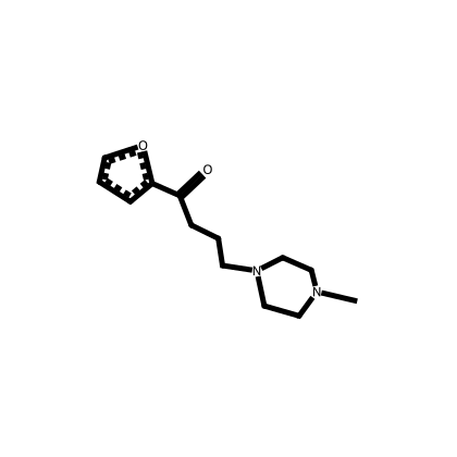 CN1CCN(CCCC(=O)c2ccco2)CC1